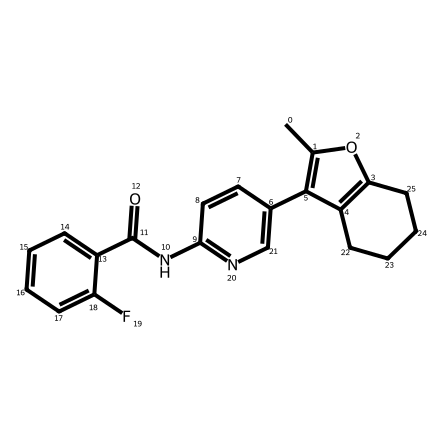 Cc1oc2c(c1-c1ccc(NC(=O)c3ccccc3F)nc1)CCCC2